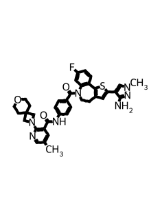 Cc1cnc(N2CC3(CCOCC3)C2)c(C(=O)Nc2ccc(C(=O)N3CCc4cc(-c5cn(C)nc5N)sc4-c4ccc(F)cc43)cc2)c1